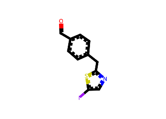 O=Cc1ccc(Cc2ncc(I)s2)cc1